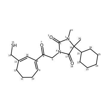 CN1C(=O)N(CC(=O)C2=CCCCC(CS)=C2)C(=O)C1(C)C1CCCCC1